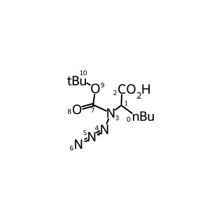 CCCCC(C(=O)O)N(N=[N+]=[N-])C(=O)OC(C)(C)C